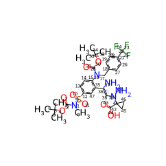 CN(C(=O)OC(C)(C)C)S(=O)(=O)c1ccc(N(Cc2ccc(C(F)(F)F)cc2)C(=O)OC(C)(C)C)c(/C(N)=C/N(N)C2(C(=O)O)CC2)c1